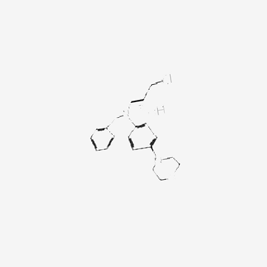 O[C@@H](CCl)CN(Cc1ccccc1)c1ccc(N2CCOCC2)cc1